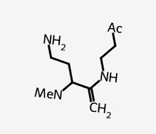 C=C(NCCC(C)=O)C(CCN)NC